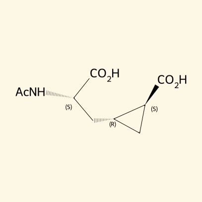 CC(=O)N[C@@H](C[C@H]1C[C@@H]1C(=O)O)C(=O)O